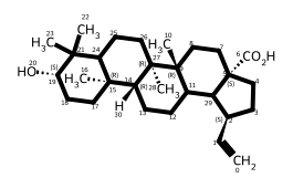 C=C[C@@H]1CC[C@]2(C(=O)O)CC[C@]3(C)C(CC[C@@H]4[C@@]5(C)CC[C@H](O)C(C)(C)C5CC[C@]43C)C12